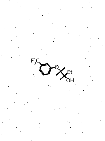 [CH2]CC(C)(O)C(C)(C)Oc1cccc(C(F)(F)F)c1